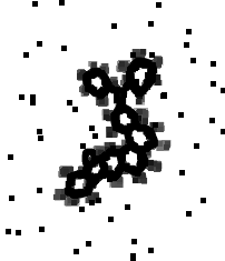 c1ccc(N(c2ccccc2)c2ccc3c(ccc4ccc5cc6c(cc5c43)oc3ccccc36)c2)cc1